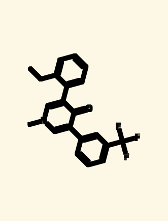 CCc1ccccc1-c1cn(C)cc(-c2cccc(C(F)(F)F)c2)c1=O